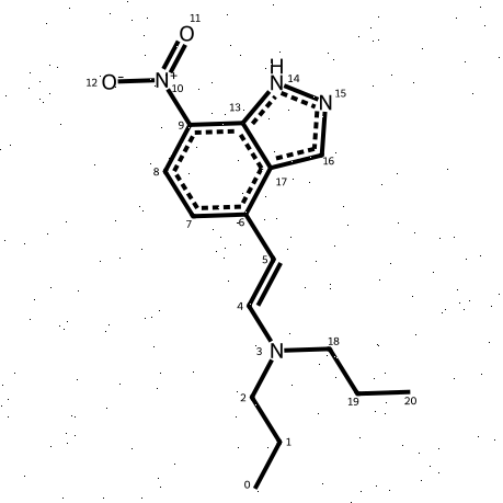 CCCN(C=Cc1ccc([N+](=O)[O-])c2[nH]ncc12)CCC